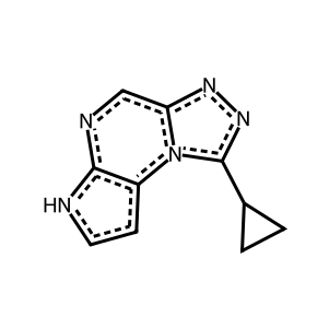 c1cc2c(ncc3nnc(C4CC4)n32)[nH]1